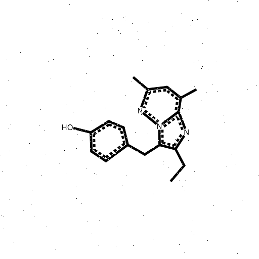 CCc1nc2c(C)cc(C)nn2c1Cc1ccc(O)cc1